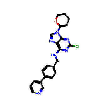 Clc1nc(NCc2ccc(-c3cccnc3)cc2)c2ncn(C3CCCCO3)c2n1